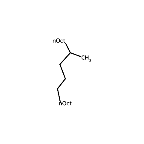 [CH2]CCCCCCCCCCC(C)CCCCCCCC